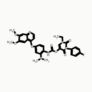 CCn1cc(OC(=O)Nc2ccc(Oc3ccnc4cc(OC)c(OC)cc34)cc2N(C)C)c(=O)n(-c2ccc(F)cc2)c1=O